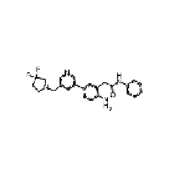 Nc1ccc(-c2cncc(CN3CCC(F)(F)C3)c2)cc1CC(=O)Nc1ccccc1